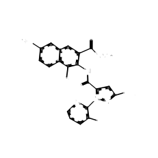 CNC(=O)c1cc2cc(C#N)ccc2c(Cl)c1NC(=O)c1cc(C(F)(F)F)nn1-c1ncccc1Cl